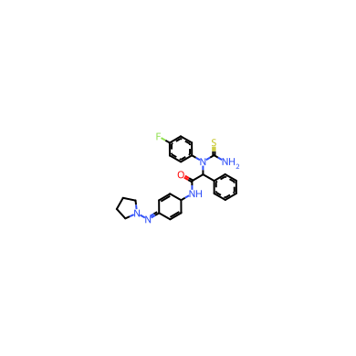 NC(=S)N(c1ccc(F)cc1)C(C(=O)NC1C=CC(=NN2CCCC2)C=C1)c1ccccc1